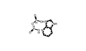 O=[PH](O)O[PH](=O)O.c1cnc2nc[nH]c2c1